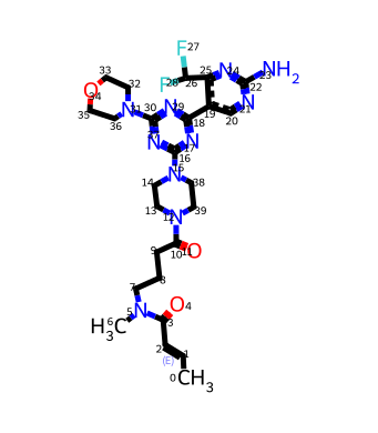 C/C=C/C(=O)N(C)CCCC(=O)N1CCN(c2nc(-c3cnc(N)nc3C(F)F)nc(N3CCOCC3)n2)CC1